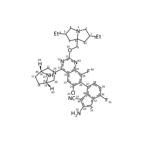 CCC1CN2CC(CC)CC2(COc2nc(N3C[C@H]4CC[C@@H](C3)N4)c3cc(Cl)c(-c4ccc(F)c5sc(N)c(C#N)c45)c(F)c3n2)C1